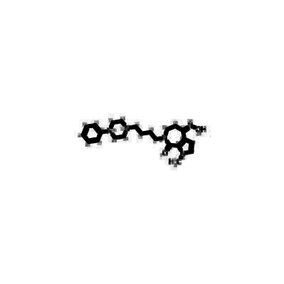 Cn1ccc2c1C(=O)N(CCCCN1CCN(c3ccccc3)CC1)CC/C2=N/O